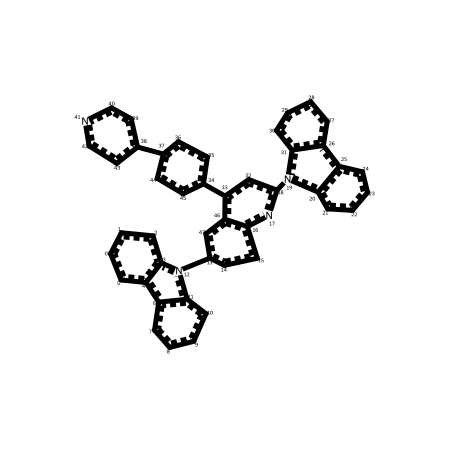 c1ccc2c(c1)c1ccccc1n2-c1ccc2nc(-n3c4ccccc4c4ccccc43)cc(-c3ccc(-c4ccncc4)cc3)c2c1